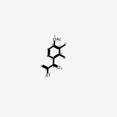 C=C(CC)C(=O)c1ccc(OC(C)=O)c(C)c1C